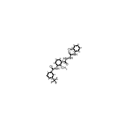 Cc1c(NC(=O)c2cccc(C(F)(F)F)c2)cccc1C(=O)NNC(=S)Nc1ccccc1Cl